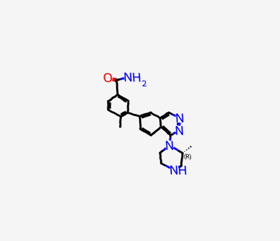 Cc1ccc(C(N)=O)cc1-c1ccc2c(N3CCNC[C@H]3C)nncc2c1